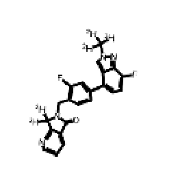 [2H]C1([2H])c2ncccc2C(=O)N1Cc1ccc(-c2ccc(F)c3nn(C([2H])([2H])[2H])cc23)cc1F